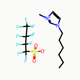 CCCCCCn1cc[n+](C)c1.O=S(=O)([O-])C(F)(F)C(F)(F)C(F)(F)C(F)(F)F